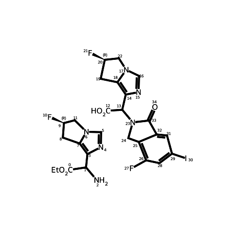 CCOC(=O)C(N)c1ncn2c1C[C@@H](F)C2.O=C(O)C(c1ncn2c1C[C@@H](F)C2)N1Cc2c(F)cc(I)cc2C1=O